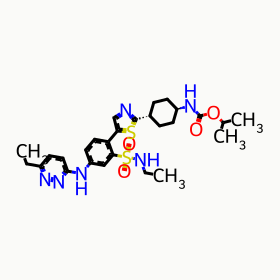 CCNS(=O)(=O)c1cc(Nc2ccc(CC)nn2)ccc1-c1cnc([C@H]2CC[C@H](NC(=O)OC(C)C)CC2)s1